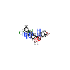 CCOc1cc2[nH]c(Nc3c(Cl)cccc3Cl)nc2cc1C(=O)Nc1ccc(Br)cc1